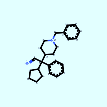 N=CC(c1ccccc1)(C1CCCC1)C1CCN(Cc2ccccc2)CC1